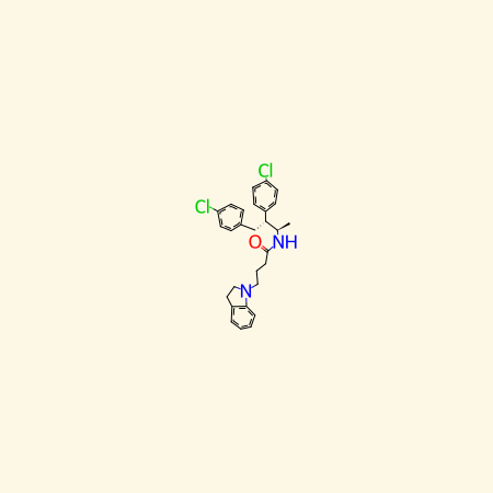 C[C@@H](NC(=O)CCCN1CCc2ccccc21)[C@H](Cc1ccc(Cl)cc1)c1ccc(Cl)cc1